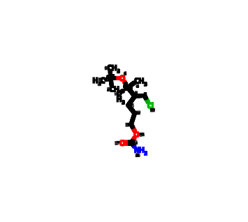 C[Si](C)(C)O[Si](C)(C)C(CCl)CCCOC(N)=O